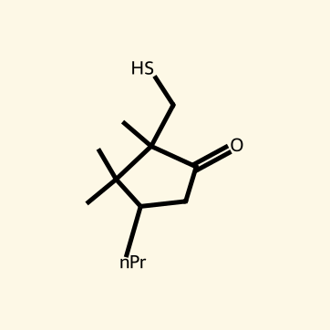 CCCC1CC(=O)C(C)(CS)C1(C)C